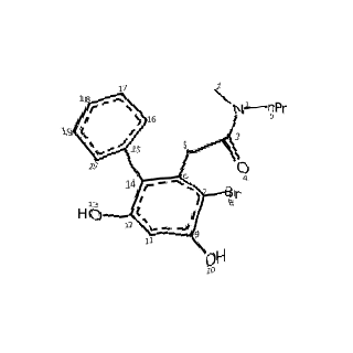 CCCN(C)C(=O)Cc1c(Br)c(O)cc(O)c1-c1ccccc1